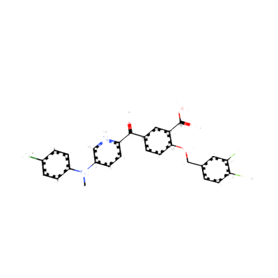 CN(c1ccc(Cl)cc1)c1ccc(C(=O)c2ccc(OCc3ccc(F)c(F)c3)c(C(=O)O)c2)nc1